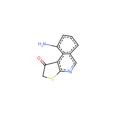 Nc1cccc2cnc3c(c12)C(=O)CS3